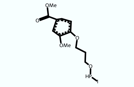 COC(=O)c1ccc(OCCCOPI)c(OC)c1